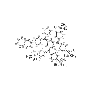 CCC(C)(C)c1ccc(N2c3ccc(C(C)(C)CC)cc3B3c4cc(C(C)(C)CC)ccc4N(c4ccc(C(C)(C)CC)cc4)c4cc(N(c5ccccc5)c5ccc(-c6ccc7ccccc7c6)cc5)cc2c43)cc1